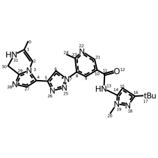 CC1=Cn2c(-c3cn(-c4cc(C(=O)Nc5cc(C(C)(C)C)nn5C)cnc4C)nn3)cnc2CN1